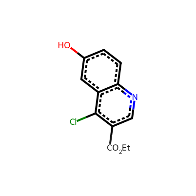 CCOC(=O)c1cnc2ccc(O)cc2c1Cl